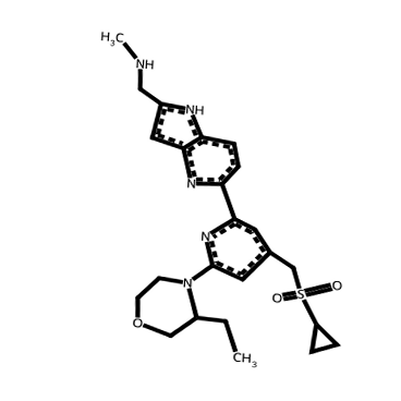 CCC1COCCN1c1cc(CS(=O)(=O)C2CC2)cc(-c2ccc3[nH]c(CNC)cc3n2)n1